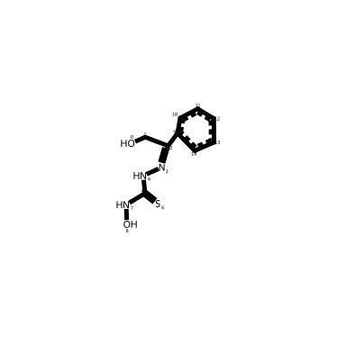 OCC(=NNC(=S)NO)c1ccccc1